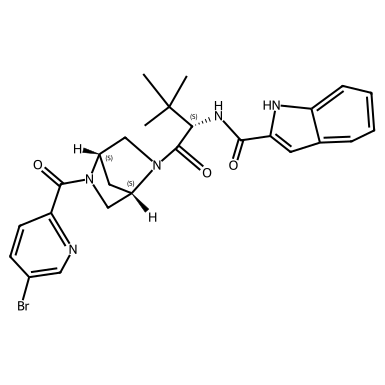 CC(C)(C)[C@H](NC(=O)c1cc2ccccc2[nH]1)C(=O)N1C[C@@H]2C[C@H]1CN2C(=O)c1ccc(Br)cn1